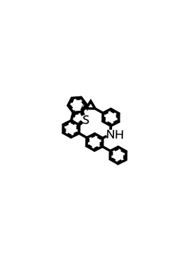 C[C@@H]1CC1c1cccc(Nc2cc(-c3cccc4c3sc3ccccc34)ccc2-c2ccccc2)c1